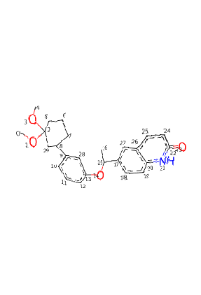 COC1(OC)CCCC(c2cccc(OC(C)c3ccc4[nH]c(=O)ccc4c3)c2)C1